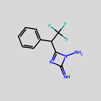 N=C1N=C(C(c2ccccc2)C(F)(F)F)N1N